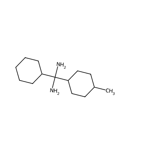 CC1CCC(C(N)(N)C2CCCCC2)CC1